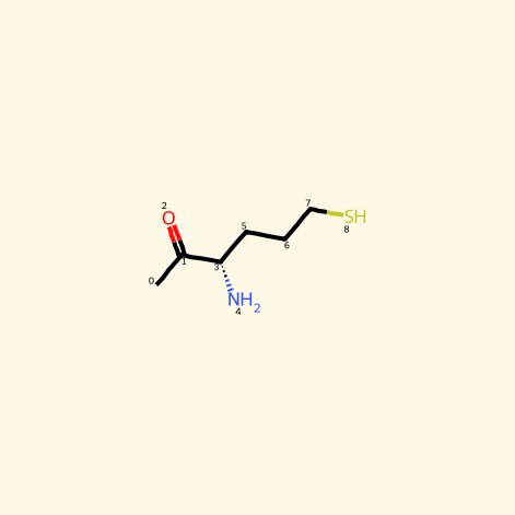 CC(=O)[C@@H](N)CCCS